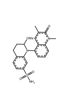 COC1CCc2ccc(S(N)(=O)=O)cc2N1c1cccc2c1cc(C)c(=O)n2C